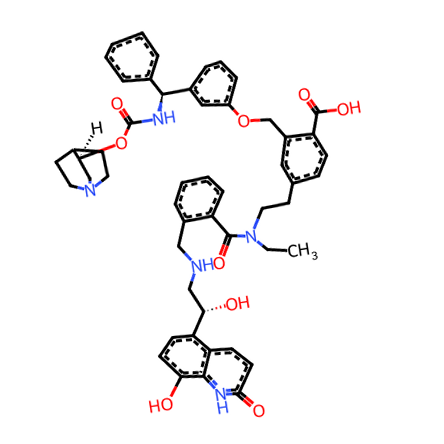 CCN(CCc1ccc(C(=O)O)c(COc2cccc([C@@H](NC(=O)O[C@H]3CN4CCC3CC4)c3ccccc3)c2)c1)C(=O)c1ccccc1CNC[C@H](O)c1ccc(O)c2[nH]c(=O)ccc12